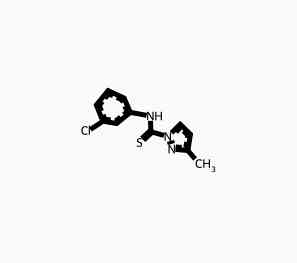 Cc1ccn(C(=S)Nc2cccc(Cl)c2)n1